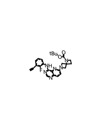 C#Cc1cccc(Nc2ncnc3ccc(N4CC5(CCN5C(=O)OC(C)(C)C)C4)nc23)c1F